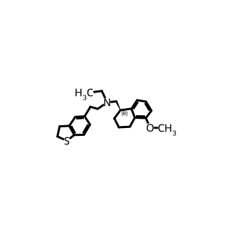 CCN(CCc1ccc2c(c1)CCS2)C[C@@H]1CCCc2c(OC)cccc21